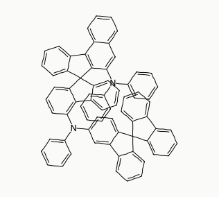 c1ccc(N(c2ccc3c(c2)-c2ccccc2C32c3ccccc3-c3ccccc32)c2cccc3c2-c2ccccc2C32c3ccccc3-c3c2c(N(c2ccccc2)c2ccccc2)cc2ccccc32)cc1